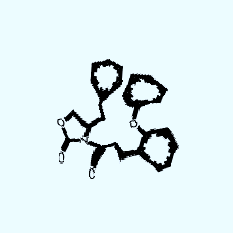 O=C(/C=C/c1ccccc1Oc1ccccc1)N1C(=O)OCC1Cc1ccccc1